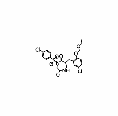 CCOCOc1ccc(Cl)cc1CC1CNC(=O)CN(S(=O)(=O)c2ccc(Cl)cc2)C1=O